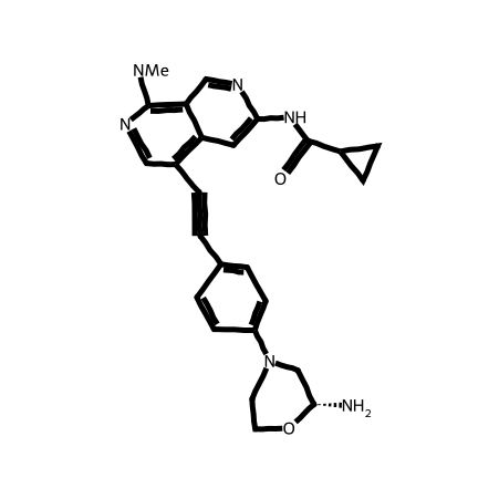 CNc1ncc(C#Cc2ccc(N3CCO[C@@H](N)C3)cc2)c2cc(NC(=O)C3CC3)ncc12